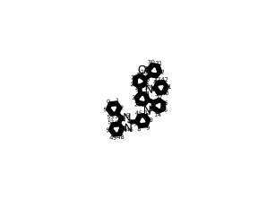 c1ccc(-c2nc(-c3cccc(-n4c5ccccc5c5c4ccc4c6ccc7oc8ccccc8c7c6n(-c6ccccc6)c45)c3)nc3ccccc23)cc1